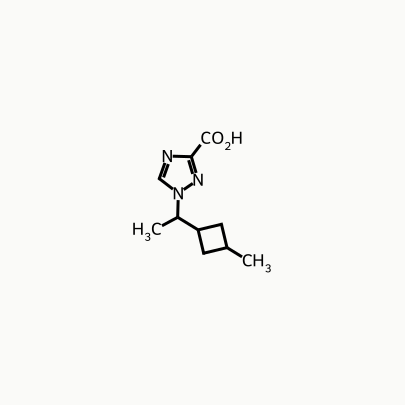 CC1CC(C(C)n2cnc(C(=O)O)n2)C1